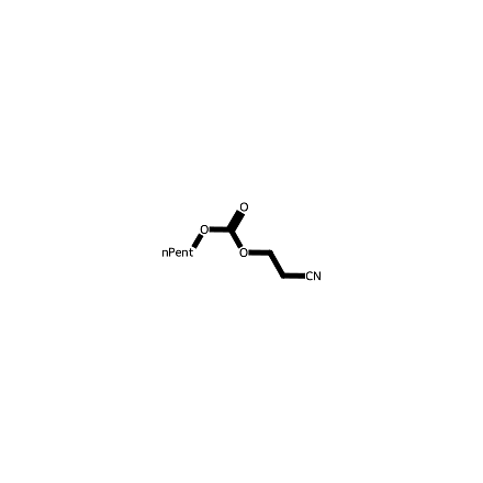 CCCCCOC(=O)OCCC#N